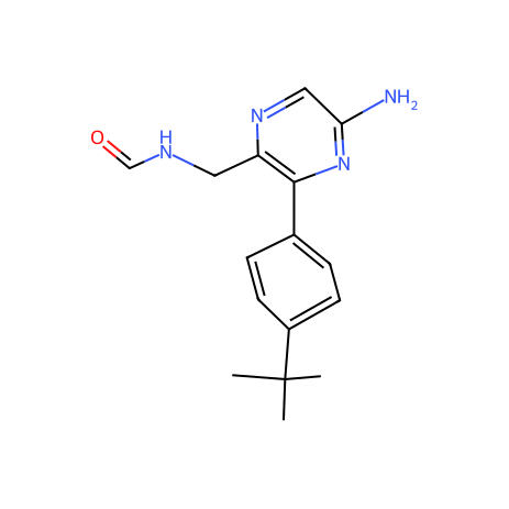 CC(C)(C)c1ccc(-c2nc(N)cnc2CNC=O)cc1